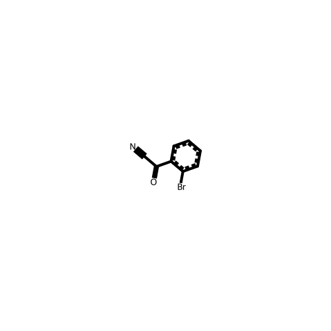 N#CC(=O)c1ccccc1Br